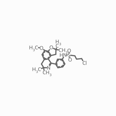 COc1cc2c(c3c1OC(C)(C)C3)C(c1cccc(NS(=O)(=O)CCCCl)c1)=NC(C)(C)C2